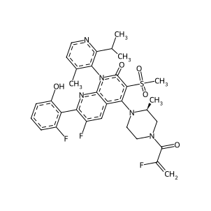 C=C(F)C(=O)N1CCN(c2c(S(C)(=O)=O)c(=O)n(-c3c(C)ccnc3C(C)C)c3nc(-c4c(O)cccc4F)c(F)cc23)[C@@H](C)C1